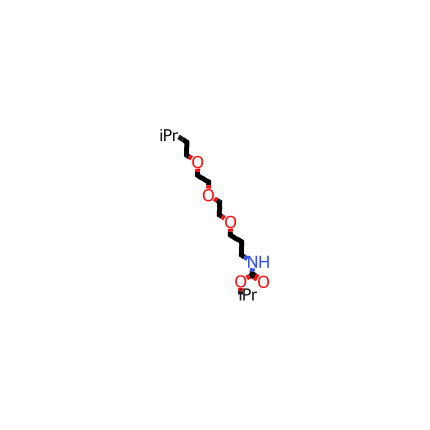 CC(C)CCOCCOCCOCCCNC(=O)OC(C)C